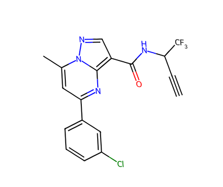 C#CC(NC(=O)c1cnn2c(C)cc(-c3cccc(Cl)c3)nc12)C(F)(F)F